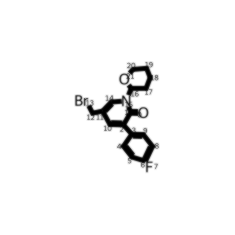 O=c1c(-c2ccc(F)cc2)cc(CBr)cn1C1CCCCO1